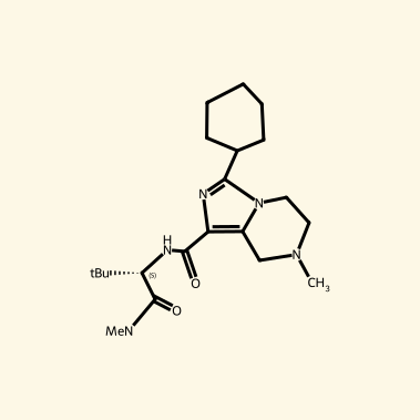 CNC(=O)[C@@H](NC(=O)c1nc(C2CCCCC2)n2c1CN(C)CC2)C(C)(C)C